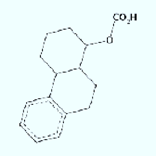 O=C(O)OC1CCCC2c3ccccc3CCC12